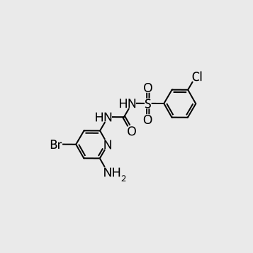 Nc1cc(Br)cc(NC(=O)NS(=O)(=O)c2cccc(Cl)c2)n1